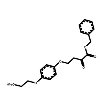 COCCOc1ccc(OCCC(=O)C(=O)OCc2ccccc2)cc1